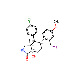 COc1ccc([C@@H]2CC[C@@]3(O)C(=O)NC[C@H]3[C@H]2c2ccc(Cl)cc2)c(CI)c1